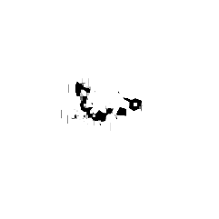 COc1cc(N2C[C@H]3C[C@H]3C2=O)ncc1[C@H](C)n1cc(C(=O)N[C@H]2C[C@@H](c3cc(Cl)ccc3C#N)C2)cn1